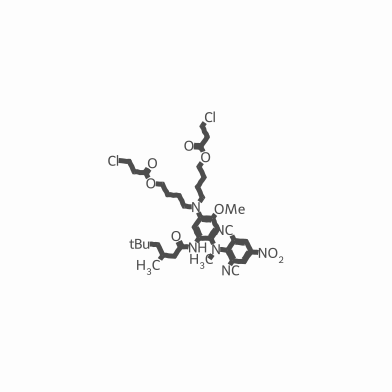 COc1cc(N(C)c2c(C#N)cc([N+](=O)[O-])cc2C#N)c(NC(=O)CC(C)CC(C)(C)C)cc1N(CCCCOC(=O)CCCl)CCCCOC(=O)CCCl